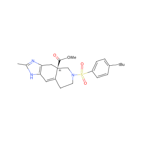 COC(=O)[C@]12Cc3nc(C)[nH]c3C=C1CCN(S(=O)(=O)c1ccc(C(C)(C)C)cc1)C2